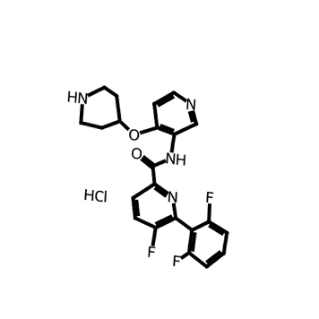 Cl.O=C(Nc1cnccc1OC1CCNCC1)c1ccc(F)c(-c2c(F)cccc2F)n1